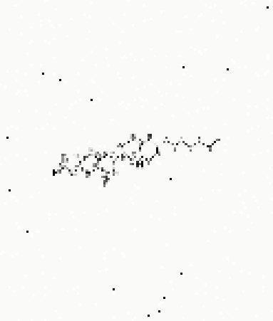 CCCCCCC[C@@H]1CC[C@@H]2CC(c3cc(F)c4cc(OC(F)F)ccc4c3)CCC2C1